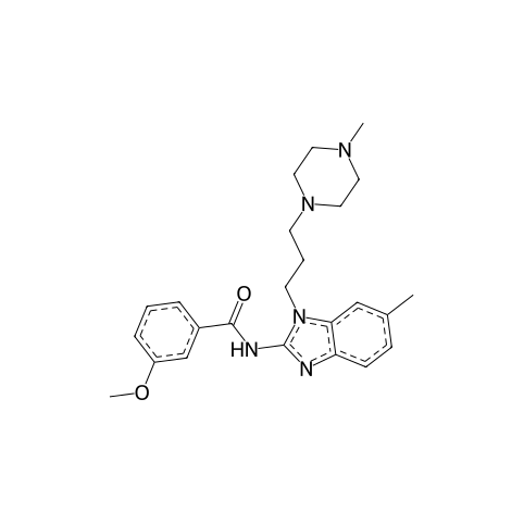 COc1cccc(C(=O)Nc2nc3ccc(C)cc3n2CCCN2CCN(C)CC2)c1